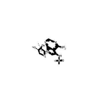 C[C@@]1(O)[C@H](O)CO[C@H]1n1cc(NS(C)(=O)=O)c2c(N)ncnc21